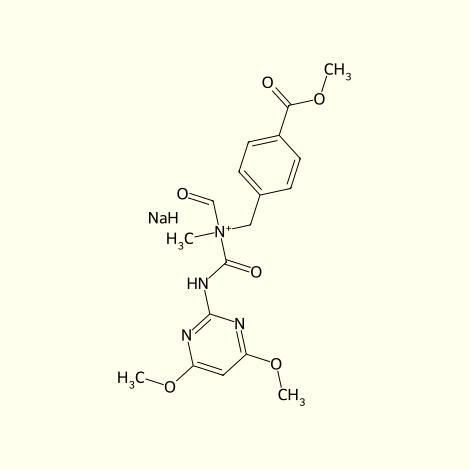 COC(=O)c1ccc(C[N+](C)(C=O)C(=O)Nc2nc(OC)cc(OC)n2)cc1.[NaH]